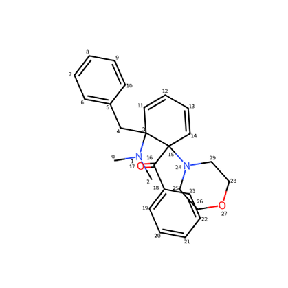 CN(C)C1(Cc2ccccc2)C=CC=CC1(C(=O)c1ccccc1)N1CCOCC1